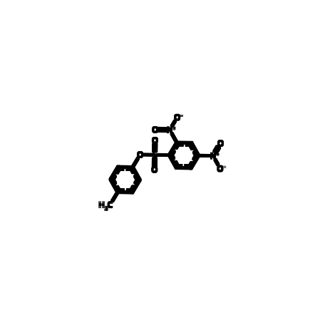 Cc1ccc(OS(=O)(=O)c2ccc([N+](=O)[O-])cc2[N+](=O)[O-])cc1